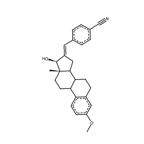 COc1ccc2c(c1)CCC1C2CC[C@@]2(C)C1C/C(=C\c1ccc(C#N)cc1)[C@@H]2O